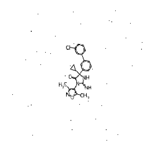 Cc1noc(C)c1N1C(=N)NC(c2cccc(-c3cccc(Cl)c3)c2)(C2CC2)C1=O